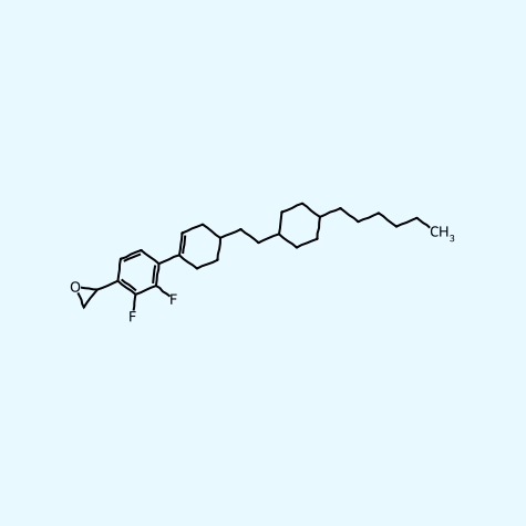 CCCCCCC1CCC(CCC2CC=C(c3ccc(C4CO4)c(F)c3F)CC2)CC1